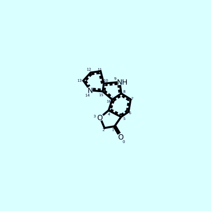 O=C1COc2c1ccc1[nH]c3cccnc3c21